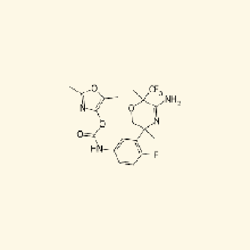 Cc1nc(OC(=O)Nc2ccc(F)c(C3(C)COC(C)(C(F)(F)F)C(N)=N3)c2)c(C)o1